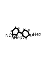 CCCCCCCC1(C#N)CCCC(C2CCC(CCCCCC)CC2)C1